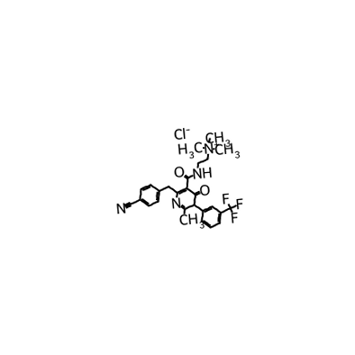 CC1=NC(Cc2ccc(C#N)cc2)=C(C(=O)NCC[N+](C)(C)C)C(=O)C1c1cccc(C(F)(F)F)c1.[Cl-]